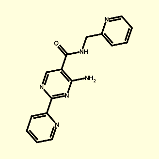 Nc1nc(-c2ccccn2)ncc1C(=O)NCc1ccccn1